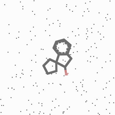 BrC1Cc2ccccc2C12CCCC2